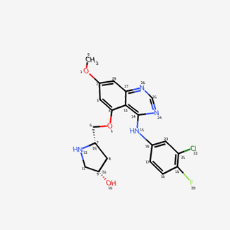 COc1cc(OC[C@@H]2C[C@H](O)CN2)c2c(Nc3ccc(F)c(Cl)c3)ncnc2c1